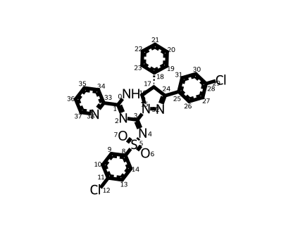 N/C(=N\C(=N/S(=O)(=O)c1ccc(Cl)cc1)N1C[C@H](c2ccccc2)C(c2ccc(Cl)cc2)=N1)c1ccccn1